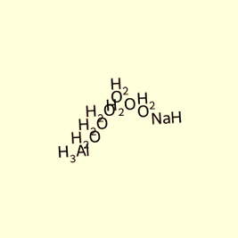 O.O.O.O.O.O.[AlH3].[NaH]